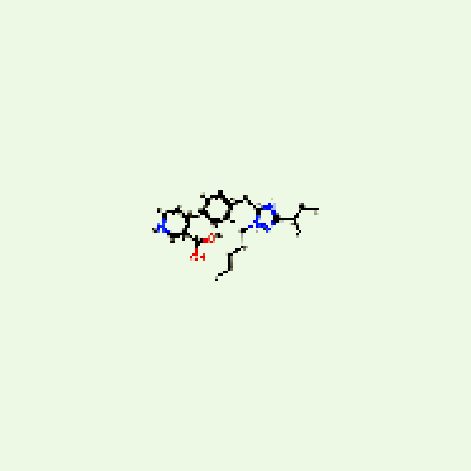 CCCCCn1nc(C(C)CC)nc1Cc1ccc(-c2ccncc2C(=O)O)cc1